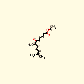 CCOC(=O)CCCCC(=O)C(C)CCC=C(C)C